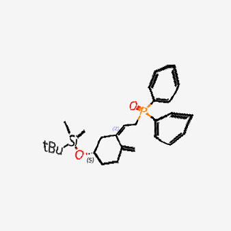 C=C1CC[C@H](O[Si](C)(C)C(C)(C)C)C/C1=C/CP(=O)(c1ccccc1)c1ccccc1